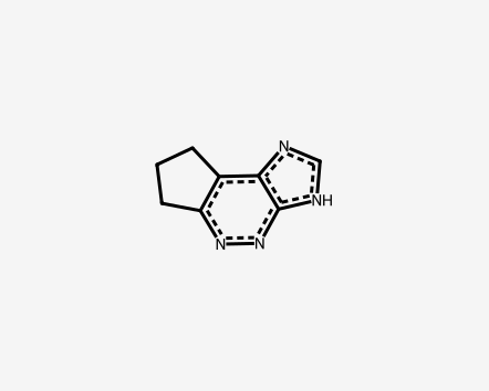 c1nc2c3c(nnc2[nH]1)CCC3